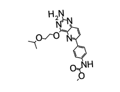 COC(=O)Nc1ccc(-c2ccc3nc(N)nc(OCCOC(C)C)c3n2)cc1